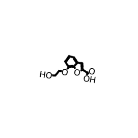 O=C(O)c1cc2cccc(OCCO)c2o1